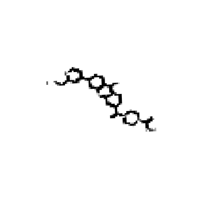 C=C(CCCC)N1CCN(C(=C)c2ccc3c(Cl)c4c(nc3c2)CC(c2ccnc(CN)c2)CC4)CC1